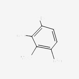 CCCCc1[c]cc(CCCC)c(OC)c1CCCC